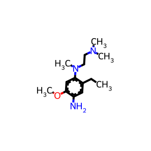 CCc1cc(N)c(OC)cc1N(C)CCN(C)C